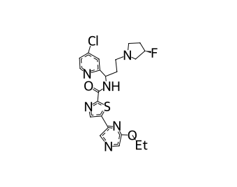 CCOc1cncc(-c2cnc(C(=O)NC(CCN3CC[C@@H](F)C3)c3cc(Cl)ccn3)s2)n1